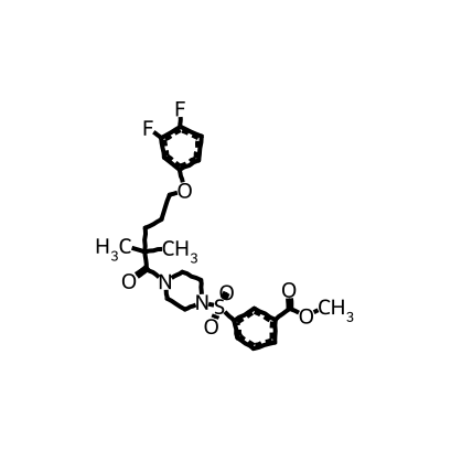 COC(=O)c1cccc(S(=O)(=O)N2CCN(C(=O)C(C)(C)CCCOc3ccc(F)c(F)c3)CC2)c1